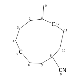 CC1CCCCCCC(C#N)CCC1